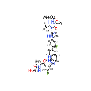 COC(=O)N[C@H](C(=O)N1C[Si](C)(C)C[C@H]1c1ncc(-c2ccc(-c3ccc4c(ccc5nc([C@@H]6C[C@@H](F)CC6C(=O)[C@@H](NC(=O)CO)C(C)C)[nH]c54)c3)c(F)c2)[nH]1)C(C)C